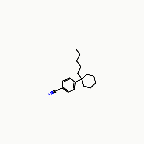 CCCCCC1(c2ccc(C#N)cc2)CCCCC1